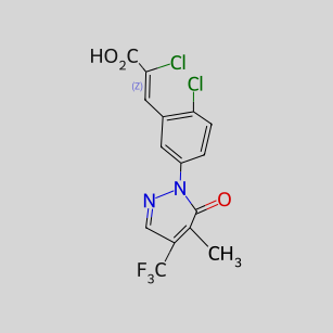 Cc1c(C(F)(F)F)cnn(-c2ccc(Cl)c(/C=C(\Cl)C(=O)O)c2)c1=O